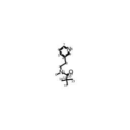 CN(CCc1cccnc1)C(=O)C(C)(C)C